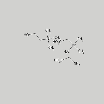 C[N+](C)(C)CC(=O)O.C[N+](C)(C)CCO.NCC(=O)O